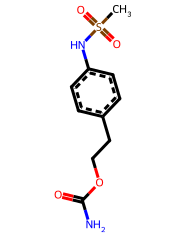 CS(=O)(=O)Nc1ccc(CCOC(N)=O)cc1